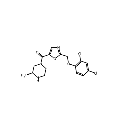 C[C@H]1CN(C(=O)c2cnc(COc3ccc(Cl)cc3Cl)o2)CCN1